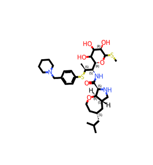 CSC1O[C@H]([C@H](NC(=O)[C@H]2NC[C@@H]3C[C@H](CC(C)C)CCO[C@H]32)[C@H](C)Sc2ccc(CN3CCCCC3)cc2)C(O)C(O)[C@H]1O